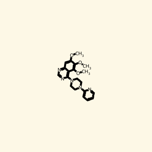 COc1cc2ncnc(N3CCN(c4ccccn4)CC3)c2c(OC)c1OC